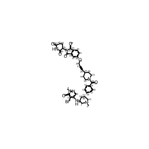 CN1C[C@H](Nc2cnn(C)c(=O)c2Br)C[C@H](c2ccc(C(=O)N3CCC(C#CCOc4ccc5c(c4)C(=O)N(C4CCC(=O)NC4=O)C5=O)CC3)cc2)C1